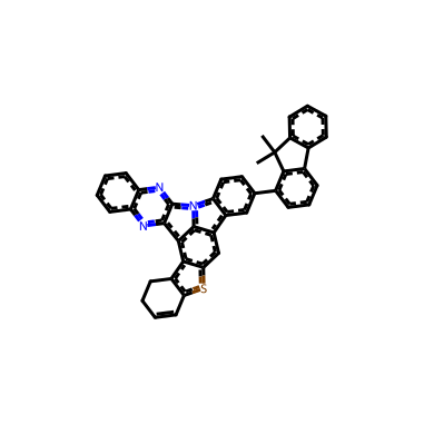 CC1(C)c2ccccc2-c2cccc(-c3ccc4c(c3)c3cc5sc6c(c5c5c7nc8ccccc8nc7n4c35)CCC=C6)c21